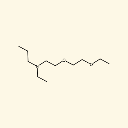 CCCN(CC)CCOCCOCC